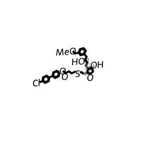 COCc1cccc(C[C@H](O)/C=C/[C@H]2[C@H](O)CC(=O)[C@@H]2CCSCCCC(=O)Oc2ccc(-c3ccc(Cl)cc3)cc2)c1